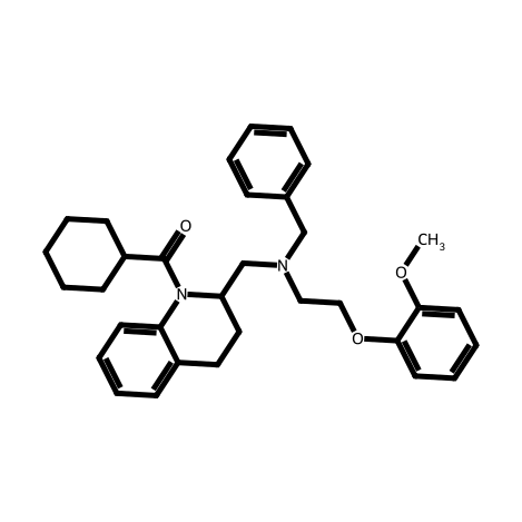 COc1ccccc1OCCN(Cc1ccccc1)CC1CCc2ccccc2N1C(=O)C1CCCCC1